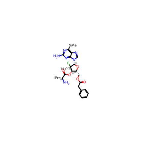 CNc1nc(N)nc2c1ncn2[C@@H]1O[C@H](COC(=O)Cc2ccccc2)[C@@H](OC(=O)[C@@H](N)C(C)C)[C@@]1(C)F